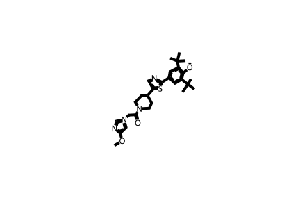 COc1cn(CC(=O)N2CCC(c3cnc(-c4cc(C(C)(C)C)c(OC)c(C(C)(C)C)c4)s3)CC2)cn1